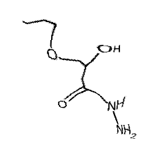 CCOC(O)C(=O)NN